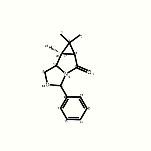 CC1(C)C2C(=O)N3C(c4ccccc4)OCC3[C@H]21